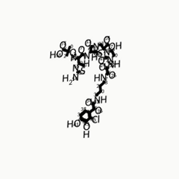 CC(C)(O/N=C(\C(=O)NC1C(=O)N2C[C@@](C(=O)O)(N3CCN(NC(=O)C(=O)NCCCCNC(=O)C(=O)c4ccc(O)c(O)c4Cl)C3=O)S[C@H]12)C1CSC(N)=N1)C(=O)O